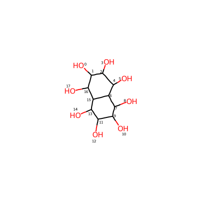 OC1C(O)C(O)C2C(O)C(O)C(O)C(O)C2C1O